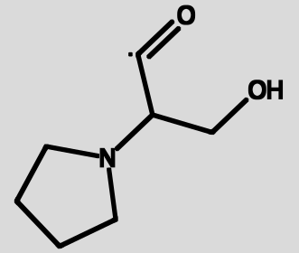 O=[C]C(CO)N1CCCC1